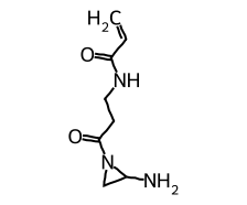 C=CC(=O)NCCC(=O)N1CC1N